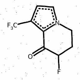 O=C1c2c(C(F)(F)F)ccn2CCC1F